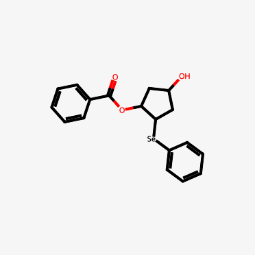 O=C(OC1CC(O)CC1[Se]c1ccccc1)c1ccccc1